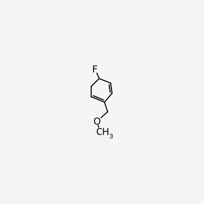 COCC1=CCC(F)C=C1